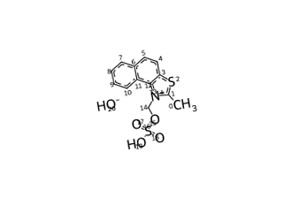 Cc1sc2ccc3ccccc3c2[n+]1COS(=O)(=O)O.[OH-]